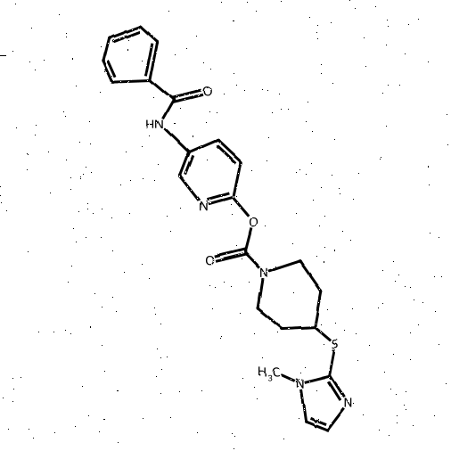 Cn1ccnc1SC1CCN(C(=O)Oc2ccc(NC(=O)c3ccccc3)cn2)CC1